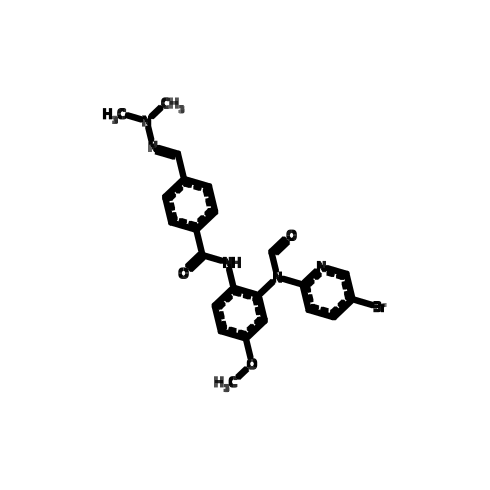 COc1ccc(NC(=O)c2ccc(C=NN(C)C)cc2)c(N(C=O)c2ccc(Br)cn2)c1